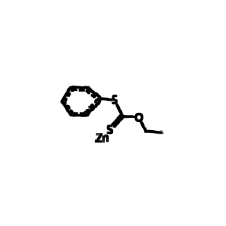 CCOC(=S)Sc1ccccc1.[Zn]